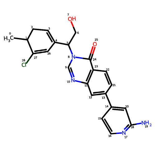 CC1CC=C(C(CO)n2cnc3cc(-c4ccnc(N)c4)ccc3c2=O)C=C1Cl